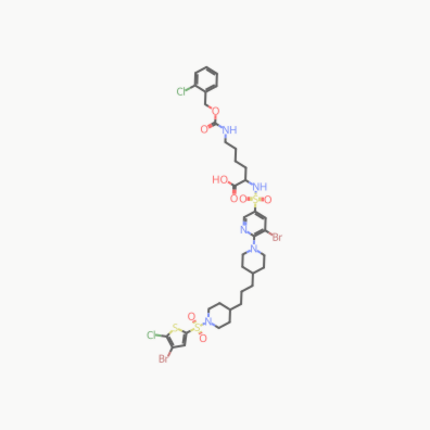 O=C(NCCCCC(NS(=O)(=O)c1cnc(N2CCC(CCCC3CCN(S(=O)(=O)c4cc(Br)c(Cl)s4)CC3)CC2)c(Br)c1)C(=O)O)OCc1ccccc1Cl